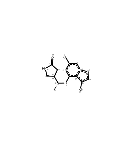 C[C@@H](Oc1nc(Cl)cn2ncc(C#N)c12)[C@H]1CNC(=O)C1